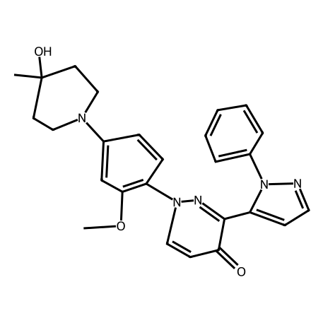 COc1cc(N2CCC(C)(O)CC2)ccc1-n1ccc(=O)c(-c2ccnn2-c2ccccc2)n1